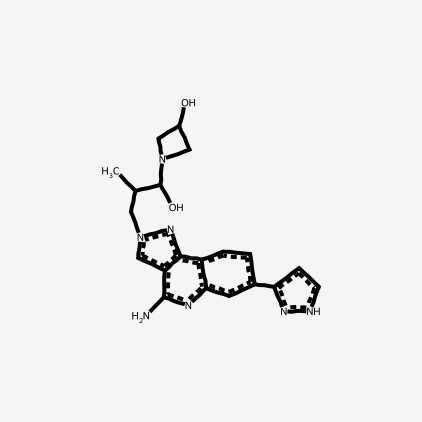 CC(Cn1cc2c(N)nc3cc(-c4cc[nH]n4)ccc3c2n1)C(O)N1CC(O)C1